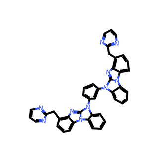 c1cnc(Cc2cccc3c2nc2n(-c4cccc(-n5c6ccccc6n6c7cccc(Cc8ncccn8)c7nc56)c4)c4ccccc4n32)nc1